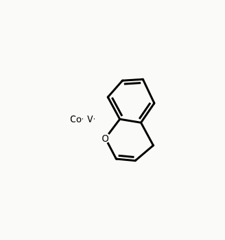 C1=COc2ccccc2C1.[Co].[V]